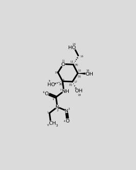 CCN(N=O)C(=O)N[C@@]1(O)CO[C@H](CO)[C@@H](O)[C@@H]1O